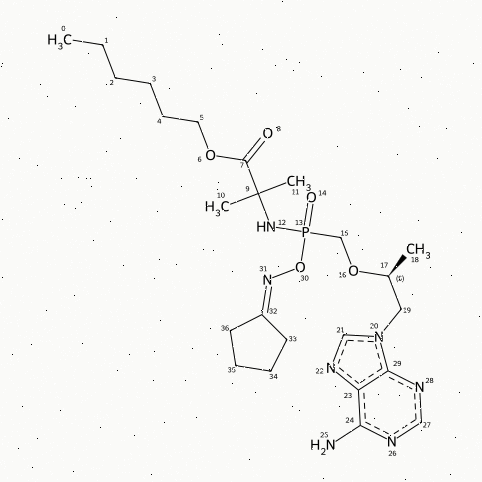 CCCCCCOC(=O)C(C)(C)NP(=O)(CO[C@@H](C)Cn1cnc2c(N)ncnc21)ON=C1CCCC1